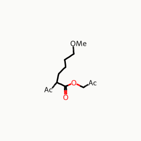 COCCCCC(C(C)=O)C(=O)OCC(C)=O